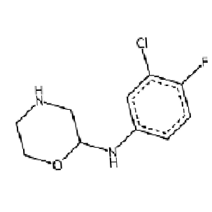 Fc1ccc(NC2CNCCO2)cc1Cl